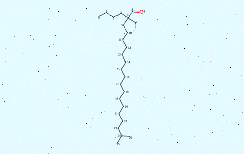 CCCCC([C]=O)(CC)CCCCCCCCCCCCCCCC(C)C